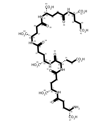 N[C@@H](CCC(=O)N[C@@H](CCC(=O)N[C@@H](CCC(=O)O)C(=O)N[C@@H](CCC(=O)N[C@@H](CCC(=O)N[C@@H](CCC(=O)N[C@@H](CCC(=O)O)C(=O)O)C(=O)O)C(=O)O)C(=O)O)C(=O)O)C(=O)O